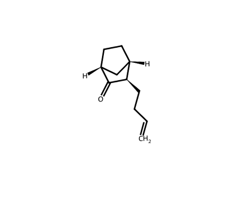 C=CCC[C@H]1C(=O)[C@@H]2CC[C@H]1C2